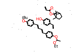 C=CC(=O)OC1CC2CCC1(C)C2(C)C.C=Cc1ccc(O)cc1.CCOC(C)Oc1ccc(C=CC=Cc2ccc(OC(C)(C)C)cc2)cc1